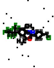 CCc1cc(C(F)(C(F)(F)F)C(F)(F)C(F)(F)F)cc(C)c1NC(=O)c1ccc(CCl)cc1